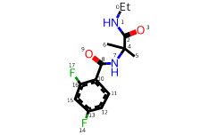 CCNC(=O)C(C)(C)NC(=O)c1ccc(F)cc1F